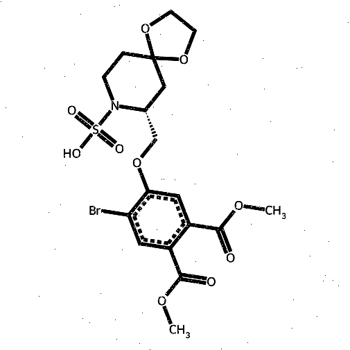 COC(=O)c1cc(Br)c(OC[C@H]2CC3(CCN2S(=O)(=O)O)OCCO3)cc1C(=O)OC